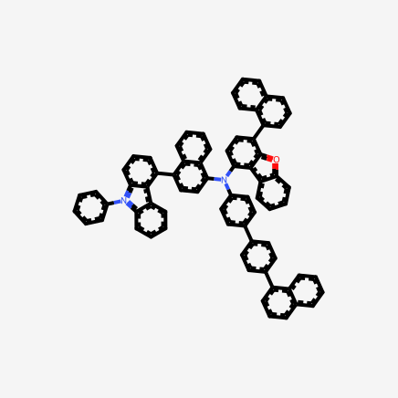 c1ccc(-n2c3ccccc3c3c(-c4ccc(N(c5ccc(-c6ccc(-c7cccc8ccccc78)cc6)cc5)c5ccc(-c6cccc7ccccc67)c6oc7ccccc7c56)c5ccccc45)cccc32)cc1